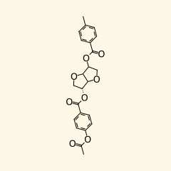 CC(=O)Oc1ccc(C(=O)O[C@@H]2COC3C(OC(=O)c4ccc(C)cc4)COC32)cc1